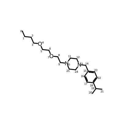 CCCCOCCOCCN1CCN(Cc2ccc(C(C)C)cc2)CC1